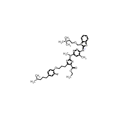 CCOC(=O)c1nc(N(C)c2cc(C)c(/N=c3/sc4ccccc4n3COCC[Si](C)(C)C)nn2)sc1CCCOc1ccc(CCCN(C)C)cc1F